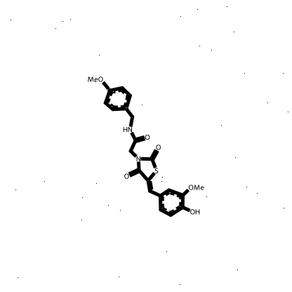 COc1ccc(CNC(=O)CN2C(=O)S/C(=C\c3ccc(O)c(OC)c3)C2=O)cc1